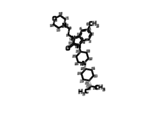 Cc1ccc2c(c1)n(CCN1CCOCC1)c(=O)n2C1CCN([C@H]2CC[C@@H](C(C)C)CC2)CC1